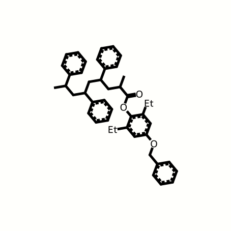 CCc1cc(OCc2ccccc2)cc(CC)c1OC(=O)C(C)CC(CC(CC(C)c1ccccc1)c1ccccc1)c1ccccc1